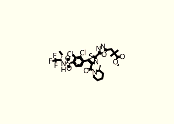 CC[C@H](NS(=O)(=O)c1ccc(-c2sc(-c3nnc(CC(C)(C)C(=O)OC)o3)nc2C(=O)N2CCCC[C@@H]2C)c(Cl)c1Cl)C(F)(F)F